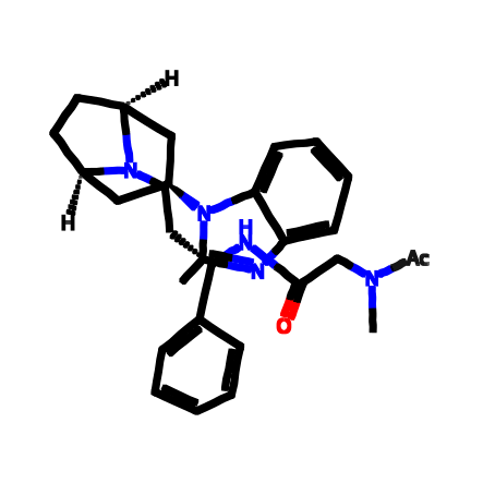 CC(=O)N(C)CC(=O)N[C@@H](CCN1[C@@H]2CC[C@H]1C[C@@H](n1c(C)nc3ccccc31)C2)c1ccccc1